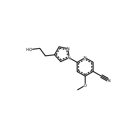 COc1cc(-n2cc(CCO)cn2)ncc1C#N